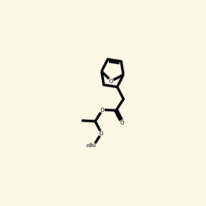 CCCCOC(C)OC(=O)CC1CC2C=CC1O2